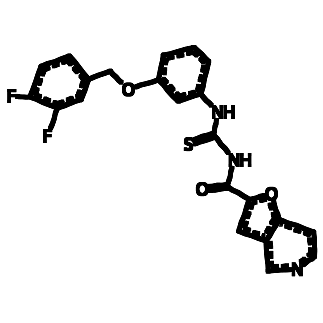 O=C(NC(=S)Nc1cccc(OCc2ccc(F)c(F)c2)c1)c1cc2cnccc2o1